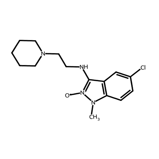 Cn1c2ccc(Cl)cc2c(NCCN2CCCCC2)[n+]1[O-]